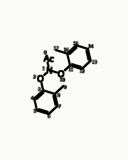 CC(=O)N(Oc1ccccc1C)Oc1ccccc1C